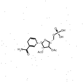 CC(=O)OC1[C@@H](COP(=O)(O)O)O[C@@H](N2C=CCC(C(N)=O)=C2)[C@H]1OC(C)=O